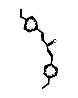 CCc1ccc(C=CC(=O)C=Cc2ccc(CC)cc2)cc1